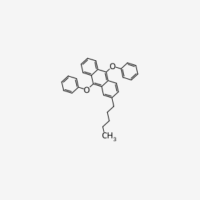 CCCCCc1ccc2c(Oc3ccccc3)c3ccccc3c(Oc3ccccc3)c2c1